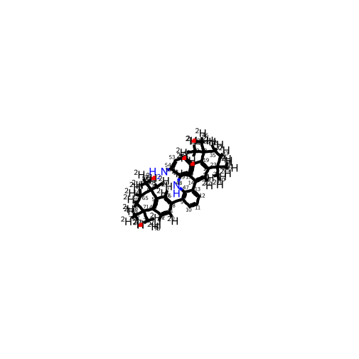 [2H]c1c([2H])c2c(c([2H])c1-c1cccc(-c3c([2H])c([2H])c4c(c3[2H])C(C([2H])([2H])[2H])(C([2H])([2H])[2H])C([2H])([2H])C([2H])([2H])C4(C([2H])([2H])[2H])C([2H])([2H])[2H])c1Nc1ccccc1N)C(C([2H])([2H])[2H])(C([2H])([2H])[2H])C([2H])([2H])C([2H])([2H])C2(C([2H])([2H])[2H])C([2H])([2H])[2H]